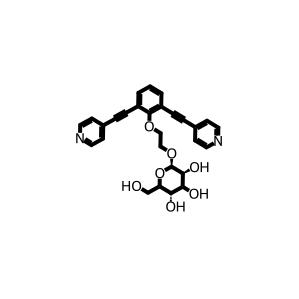 OCC1O[C@@H](OCCOc2c(C#Cc3ccncc3)cccc2C#Cc2ccncc2)[C@@H](O)C(O)[C@@H]1O